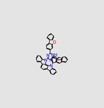 c1ccc(C2=NC(n3c4ccccc4c4ccc5c6ccccc6n(-c6cccc(-c7ccccc7)c6)c5c43)=NC(c3ccc4c(c3)oc3ccccc34)N2)cc1